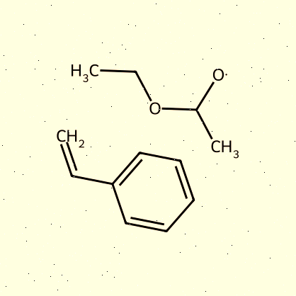 C=Cc1ccccc1.CCOC(C)[O]